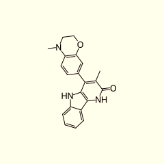 Cc1c(-c2ccc3c(c2)OCCN3C)c2[nH]c3ccccc3c2[nH]c1=O